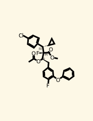 COC(=O)[C@@](F)([C@H](c1ccc(Cl)cc1)C1CC1)[C@@H](Cc1ccc(F)c(Oc2ccccc2)c1)OC(C)=O